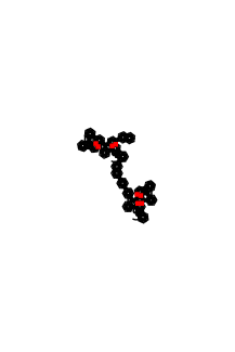 c1ccc(N(c2ccc(-c3ccc(-c4ccc5ccc(-c6cccc7c6sc6c(-c8ccccc8N(c8ccc(-c9ccc%10ccccc%10c9)cc8)c8ccc(-c9ccccc9-n9c%10ccccc%10c%10ccccc%109)cc8)cccc67)cc5c4)cc3)cc2)c2ccc(-c3ccccc3-n3c4ccccc4c4ccccc43)cc2)c(-c2cccc3c2sc2ccccc23)c1